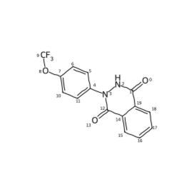 O=c1[nH]n(-c2ccc(OC(F)(F)F)cc2)c(=O)c2ccccc12